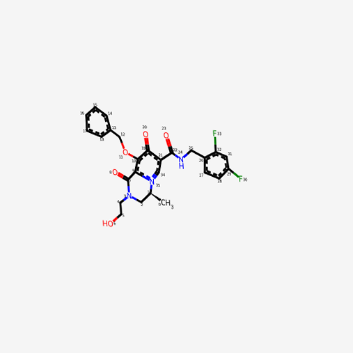 C[C@H]1CN(CCO)C(=O)c2c(OCc3ccccc3)c(=O)c(C(=O)NCc3ccc(F)cc3F)cn21